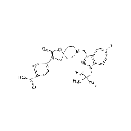 CC(C)(C)Cn1nc(CN2CCC3(CC2)CN(c2ccc(C(=O)O)cc2)C(=O)O3)c2cc(F)ccc21